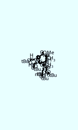 CCCCCCCCCCN(CCS(=O)(=O)N[C@@H](CCCCNC(=O)OC(C)(C)C)C(=O)N(C)[C@@H]1C(=O)N[C@@H](C)C(=O)N[C@H](C(=O)OC)Cc2ccc(OCCNC(=O)OC(C)(C)C)c(c2)-c2cc1ccc2OCCNC(=O)OC(C)(C)C)C(=O)OC(C)(C)C